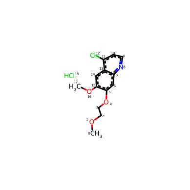 COCCOc1cc2nccc(Cl)c2cc1OC.Cl